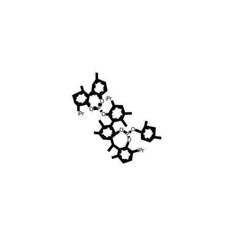 Cc1ccc(OP2Oc3c(cc(C)c(C)c3-c3c(C)c(C)cc(C(C)C)c3Op3oc4ccc(C)cc4c4c(C)ccc(C(C)C)c4o3)C(C)c3c(C)ccc(C(C)C)c3O2)c(C)c1